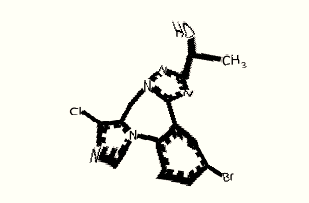 CC(O)c1nc2n(n1)Cc1c(Cl)ncn1-c1ccc(Br)cc1-2